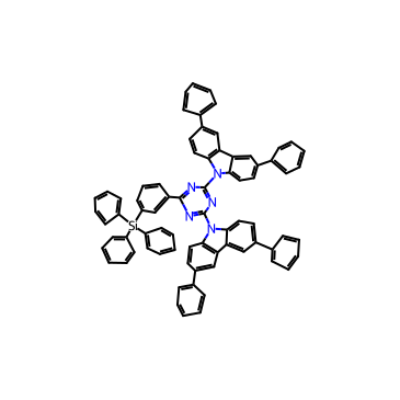 c1ccc(-c2ccc3c(c2)c2cc(-c4ccccc4)ccc2n3-c2nc(-c3cccc([Si](c4ccccc4)(c4ccccc4)c4ccccc4)c3)nc(-n3c4ccc(-c5ccccc5)cc4c4cc(-c5ccccc5)ccc43)n2)cc1